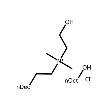 CCCCCCCCCCCC[N+](C)(C)CCO.CCCCCCCCO.[Cl-]